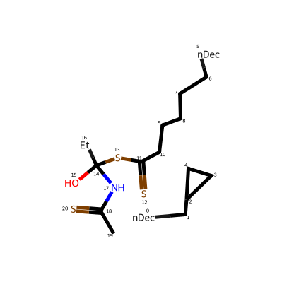 CCCCCCCCCCCC1CC1.CCCCCCCCCCCCCCCC(=S)SC(O)(CC)NC(C)=S